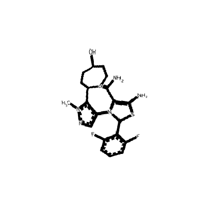 Cn1ncc(N2C(C(N)=O)=C(N)SC2c2c(F)cccc2F)c1C1CCC(O)CCO1